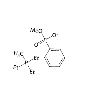 CC[P+](C)(CC)CC.COP(=O)([O-])c1ccccc1